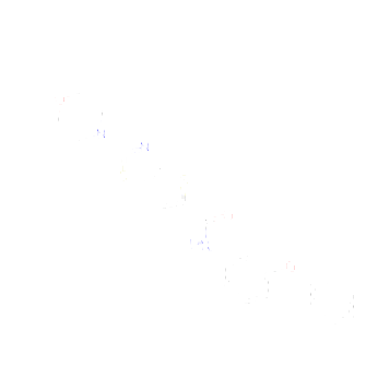 O=C(Nc1cccc(Oc2ccccc2)c1)c1cc2sc(N3CCOCC3)nc2s1